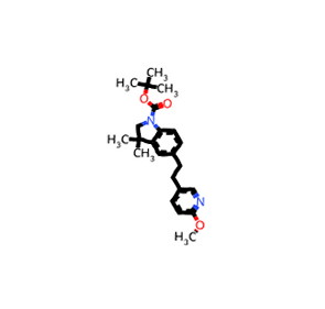 COc1ccc(CCc2ccc3c(c2)C(C)(C)CN3C(=O)OC(C)(C)C)cn1